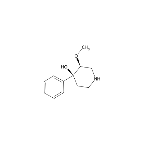 CO[C@H]1CNCC[C@]1(O)c1ccccc1